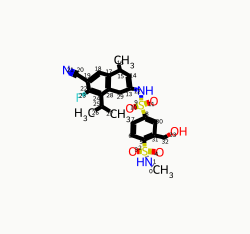 CNS(=O)(=O)c1ccc(S(=O)(=O)NC2=CC(C)c3cc(C#N)c(F)c(C(C)C)c3C2)cc1CO